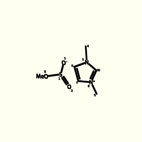 COS(=O)[O-].Cn1cc[n+](C)c1